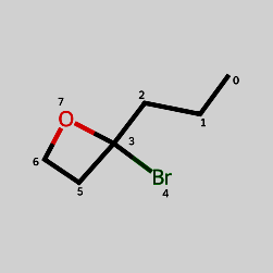 CCCC1(Br)CCO1